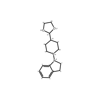 c1ccc2c(c1)CCN2N1CCC(C2OCCO2)CC1